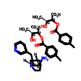 Cc1ccc(C(=O)O[C@H](C(=O)O)[C@H](O)C(=O)O)cc1.Cc1ccc(C(=O)O[C@H](C(=O)O)[C@H](O)C(=O)O)cc1.N[C@@H]1C2CCN(CC2)[C@H]1Cc1cccnc1